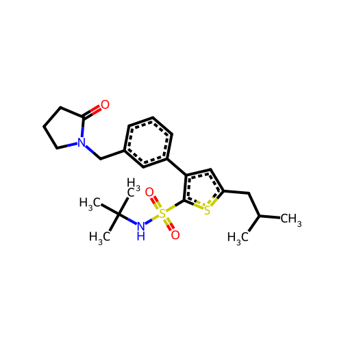 CC(C)Cc1cc(-c2cccc(CN3CCCC3=O)c2)c(S(=O)(=O)NC(C)(C)C)s1